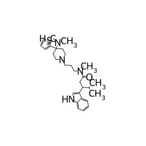 CC(C)C(CC(=O)N(C)CCCN1CCC(c2cccs2)(N(C)C)CC1)c1c[nH]c2ccccc12